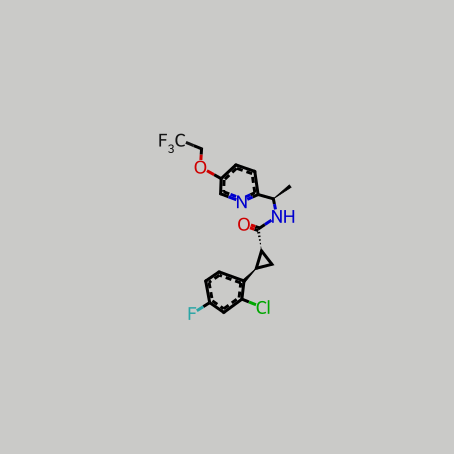 C[C@@H](NC(=O)[C@@H]1C[C@H]1c1ccc(F)cc1Cl)c1ccc(OCC(F)(F)F)cn1